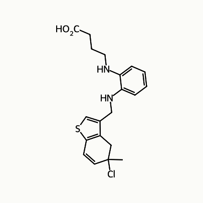 CC1(Cl)C=Cc2scc(CNc3ccccc3NCCCC(=O)O)c2C1